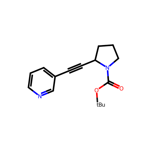 CC(C)(C)OC(=O)N1CCCC1C#Cc1cccnc1